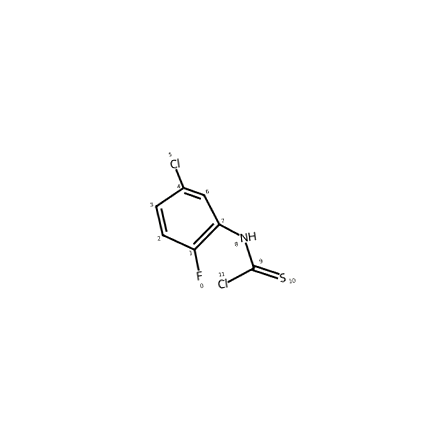 Fc1ccc(Cl)cc1NC(=S)Cl